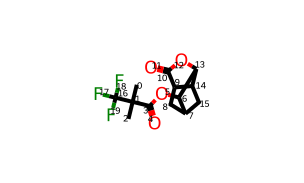 CC(C)(C(=O)OC1C2CC3C(=O)OC1C3C2)C(F)(F)F